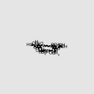 Cc1c(NC(=O)C(O)CO)c(I)c(C(=O)N(C)CC(O)CO)c(I)c1C(=O)NCCCCCNC(=O)c1c(I)c(NC(=O)C(O)CO)c(I)c(C(=O)N(C)CC(O)CO)c1I